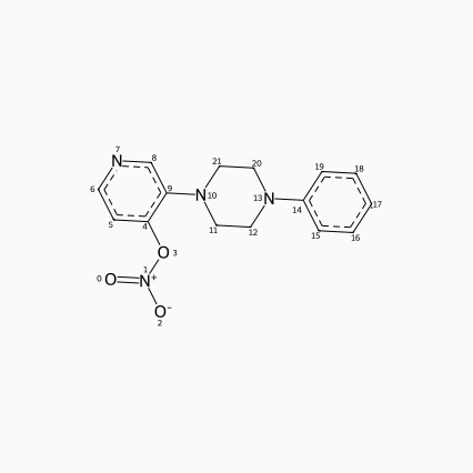 O=[N+]([O-])Oc1ccncc1N1CCN(c2cc[c]cc2)CC1